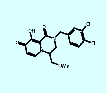 COCC1CN(Cc2ccc(Cl)c(Cl)c2)C(=O)c2c(O)c(=O)ccn21